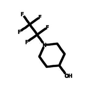 OC1CCN(C(F)(F)C(F)(F)F)CC1